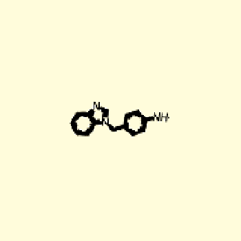 [NH]c1ccc(Cn2cnc3ccccc32)cc1